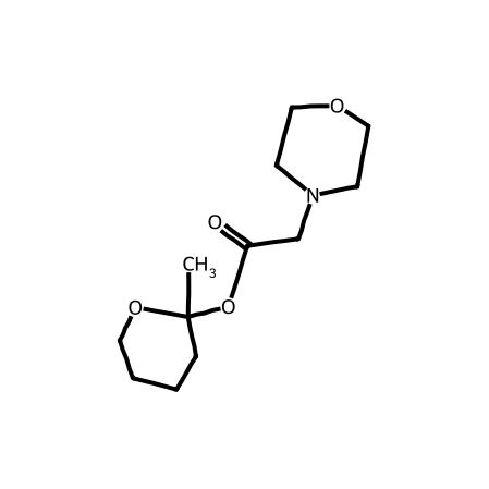 CC1(OC(=O)CN2CCOCC2)CCCCO1